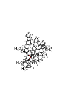 CC(C)(C)c1ccc(N2c3cc4c(cc3B3c5c(cc(C(c6cccc7c6sc6ccccc67)c6cccc7c6sc6ccccc67)cc52)-c2cc(C(C)(C)C)cc5c2N3C2(C)CCCCC52C)C(C)(C)c2cc3c(cc2-4)C(C)(C)CCC3(C)C)c(-c2ccccc2)c1